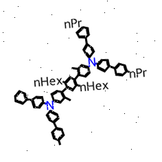 CCCCCCc1cc(-c2ccc(N(c3ccc(-c4ccc(CCC)cc4)cc3)c3ccc(-c4ccc(CCC)cc4)cc3)cc2C)c(CCCCCC)cc1-c1ccc(N(c2ccc(-c3ccccc3)cc2)c2ccc(-c3ccc(C)cc3)cc2)cc1C